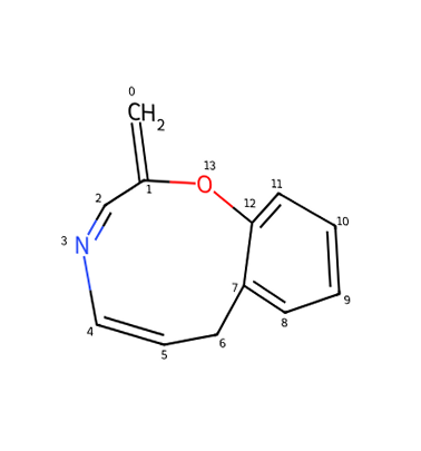 C=C1/C=N\C=C/Cc2ccccc2O1